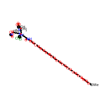 CCCCN1C(=CC=Cc2n(CCCCCC(=O)ON3C(=O)CCC3=O)c3cc(Cl)c(Cl)cc3[n+]2CCCCCC(=O)NCCOCCOCCOCCOCCOCCOCCOCCOCCOCCOCCOCCOCCOCCOCCOCCOCCOCCOCCOCCOCCOCCOCCOCCOC)C(C)(C)c2cc(S(=O)(=O)[O-])ccc21